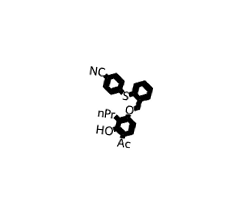 CCCc1c(OCc2ccccc2Sc2ccc(C#N)cc2)ccc(C(C)=O)c1O